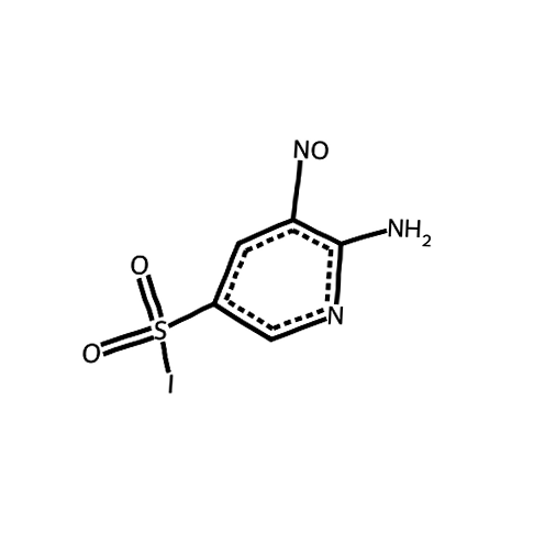 Nc1ncc(S(=O)(=O)I)cc1N=O